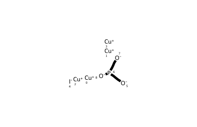 [Cu+].[Cu+].[Cu+].[Cu+].[I-].[O-]P([O-])[O-]